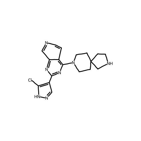 Clc1[nH]ncc1-c1nc(N2CCC3(CCNC3)CC2)c2ccncc2n1